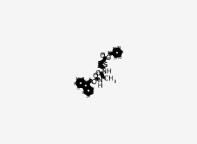 C[C@H](NC(=O)OCC1c2ccccc2-c2ccccc21)C(=O)Nc1ccc(C(=O)OCc2ccccc2)s1